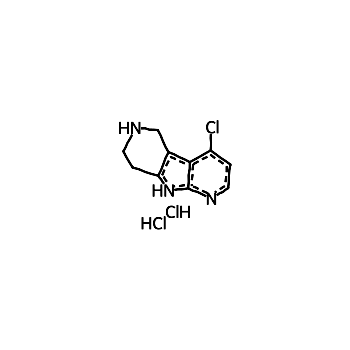 Cl.Cl.Clc1ccnc2[nH]c3c(c12)CNCC3